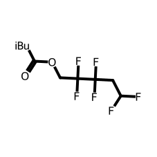 CCC(C)C(=O)OCC(F)(F)C(F)(F)CC(F)F